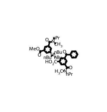 CCCN(C)C(=O)c1cc(C(=O)O)cc(C(=O)c2ccccc2)c1.CCC[CH2][Sn]([CH2]CCC)([CH2]CCC)[c]1cc(C(=O)OC)cc(C(=O)N(C)CCC)c1